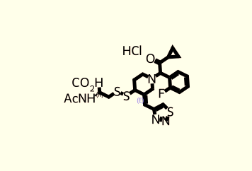 CC(=O)N[C@@H](CSSC1CCN(C(C(=O)C2CC2)c2ccccc2F)C/C1=C\c1csnn1)C(=O)O.Cl